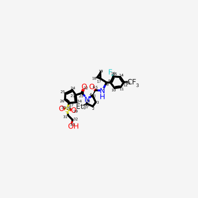 CC[C@@H]1CC[C@H](C(=O)NC(c2ccc(C(F)(F)F)cc2F)C2CC2)N1C(=O)c1cccc(S(=O)(=O)CCO)c1